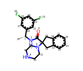 C[C@@H](NC(=O)C1(N2CCNCC2)Cc2ccccc2C1)c1cc(F)cc(F)c1